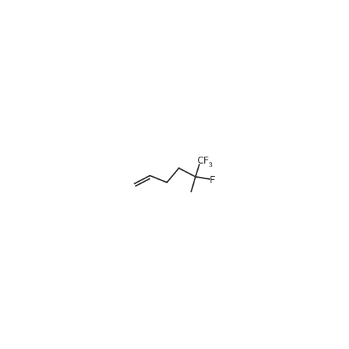 C=CCCC(C)(F)C(F)(F)F